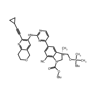 CC(C)(C)OC(=O)N1C[C@](C)(CO[Si](C)(C)C(C)(C)C)c2cc(-c3ccnc(Nc4cc5c(nc4C#CC4CC4)CCOC5)n3)cc(C#N)c21